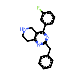 Fc1cccc(-c2nc(Cc3ccccc3)nc3c2CNCC3)c1